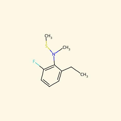 CCc1cccc(F)c1N(C)SC